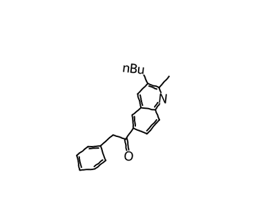 CCCCc1cc2cc(C(=O)Cc3ccccc3)ccc2nc1C